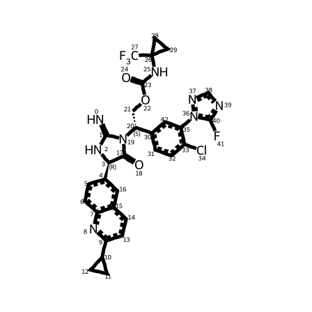 N=C1N[C@H](c2ccc3nc(C4CC4)ccc3c2)C(=O)N1[C@H](COC(=O)NC1(C(F)(F)F)CC1)c1ccc(Cl)c(-n2ncnc2F)c1